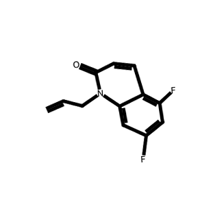 C=CCn1c(=O)ccc2c(F)cc(F)cc21